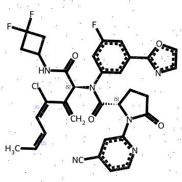 C=C(/C(Cl)=C\C=C/C)[C@@H](C(=O)NC1CC(F)(F)C1)N(C(=O)[C@@H]1CCC(=O)N1c1cc(C#N)ccn1)c1cc(F)cc(-c2ncco2)c1